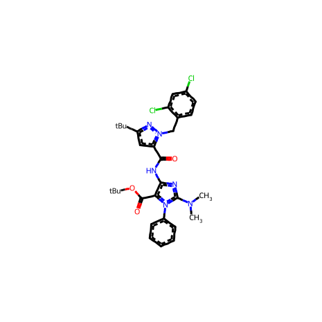 CN(C)c1nc(NC(=O)c2cc(C(C)(C)C)nn2Cc2ccc(Cl)cc2Cl)c(C(=O)OC(C)(C)C)n1-c1ccccc1